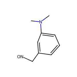 CN(C)c1cccc(CN=O)c1